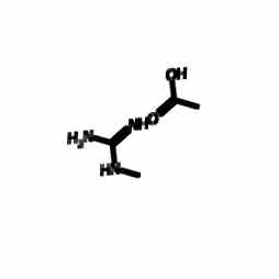 CC(=O)O.CNC(=N)N